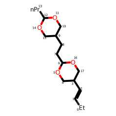 CCC=CC1COC(CCC2COC(CCC)OC2)OC1